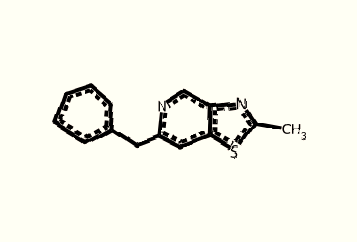 Cc1nc2cnc(Cc3ccccc3)cc2s1